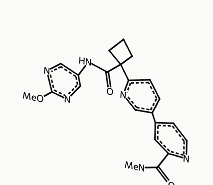 CNC(=O)c1cc(-c2ccc(C3(C(=O)Nc4cnc(OC)nc4)CCC3)nc2)ccn1